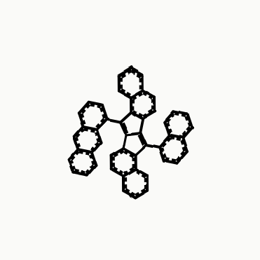 c1ccc2cc3c(C4=C5C(=C(c6cccc7ccccc67)c6c5ccc5ccccc65)c5ccc6ccccc6c54)cccc3cc2c1